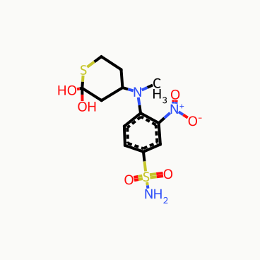 CN(c1ccc(S(N)(=O)=O)cc1[N+](=O)[O-])C1CCSC(O)(O)C1